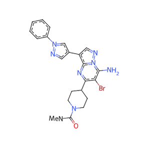 CNC(=O)N1CCC(c2nc3c(-c4cnn(-c5ccccc5)c4)cnn3c(N)c2Br)CC1